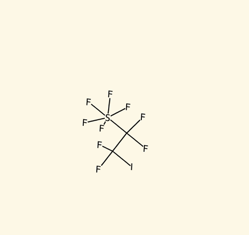 FC(F)(I)C(F)(F)S(F)(F)(F)(F)F